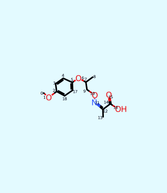 COc1ccc(OC(C)CON=C(C)C(=O)O)cc1